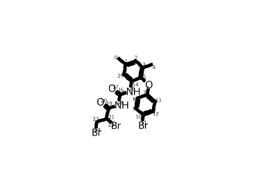 Cc1cc(C)c(Oc2ccc(Br)cc2)c(NC(=O)NC(=O)C(Br)CBr)c1